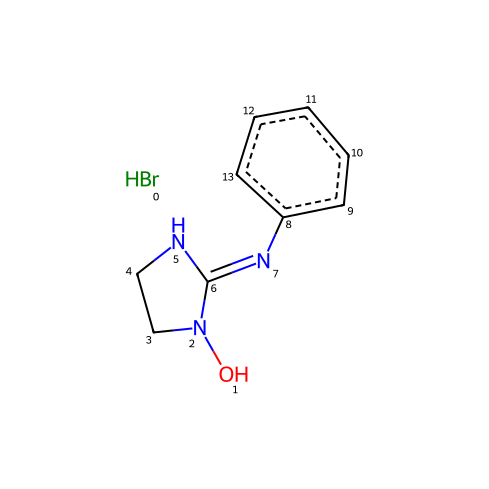 Br.ON1CCN/C1=N\c1ccccc1